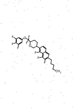 CCCCCc1cc2ccc(C3CCC(C(F)(F)Oc4cc(F)c(F)c(F)c4)OC3)c(F)c2c(F)c1F